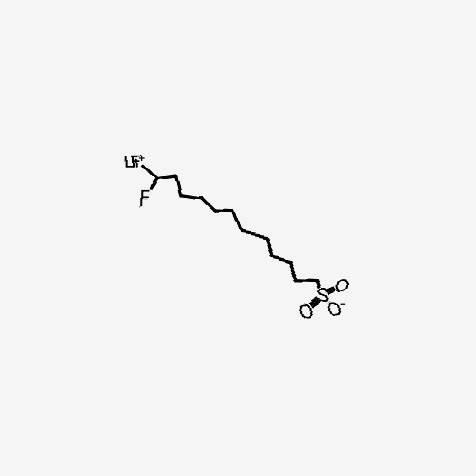 O=S(=O)([O-])CCCCCCCCCCCC(F)F.[Li+]